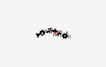 OC(COc1ccc(Cl)c(F)c1)NC12CC(c3nc(COc4ccc(C5CC5)nc4)no3)(C1)C2